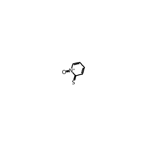 O=[N+]1C=CC=CC1=S